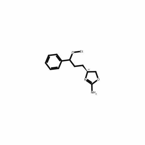 CCOC(CC[C@H]1COC(N)=N1)c1ccccc1